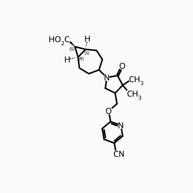 CC1(C)C(=O)N(C2CC[C@@H]3[C@H](CC2)[C@@H]3C(=O)O)CC1COc1ccc(C#N)cn1